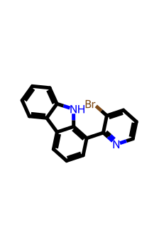 Brc1cccnc1-c1cccc2c1[nH]c1ccccc12